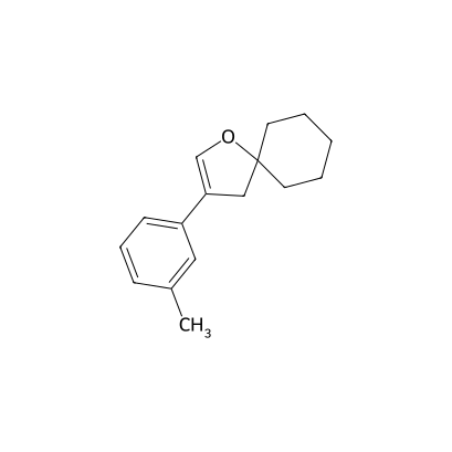 Cc1cccc(C2=COC3(CCCCC3)C2)c1